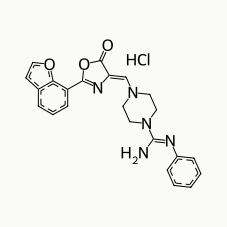 Cl.NC(=Nc1ccccc1)N1CCN(C=C2N=C(c3cccc4ccoc34)OC2=O)CC1